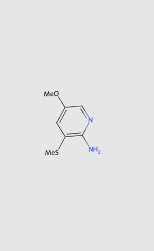 COc1cnc(N)c(SC)c1